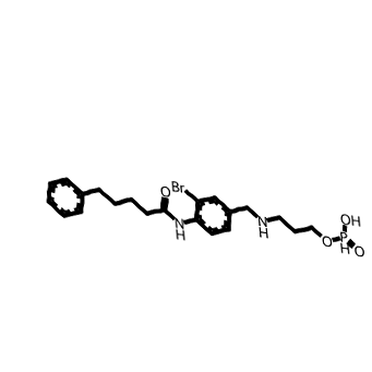 O=C(CCCCc1ccccc1)Nc1ccc(CNCCCO[PH](=O)O)cc1Br